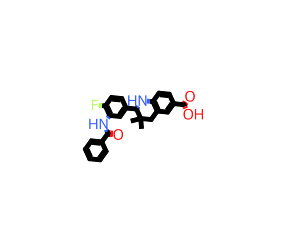 CC1(C)Cc2cc(C(=O)O)ccc2NC1c1ccc(F)c(NC(=O)c2ccccc2)c1